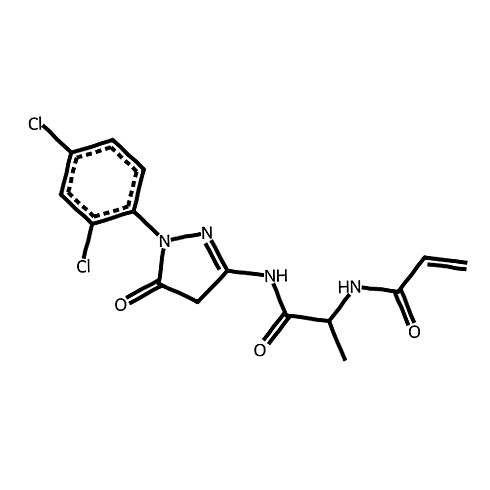 C=CC(=O)NC(C)C(=O)NC1=NN(c2ccc(Cl)cc2Cl)C(=O)C1